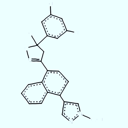 O=C(O)n1cc(-c2ccc(C3=NOC(c4cc(Cl)cc(Cl)c4)(C(F)(F)F)C3)c3ccccc23)cn1